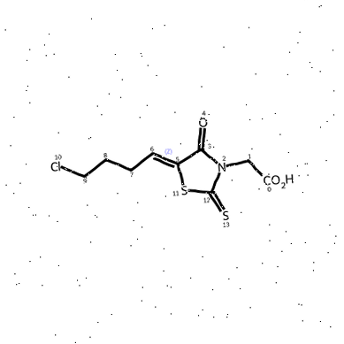 O=C(O)CN1C(=O)/C(=C/CCCCl)SC1=S